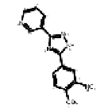 CC(C)COc1ccc(-c2nc(-c3cccnc3)n[nH]2)cc1[N+](=O)[O-]